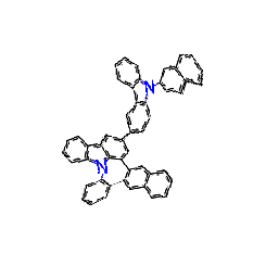 c1ccc2c(c1)-c1cc3ccccc3cc1-c1cc(-c3ccc4c(c3)c3ccccc3n4-c3ccc4ccccc4c3)cc3c4ccccc4n-2c13